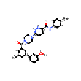 CCOc1cccc(-c2cc(C(=O)N3CCN(c4ccc(C(=O)Nc5ccc(OC)cc5)nn4)CC3)cc(C(C)(C)C)c2)c1